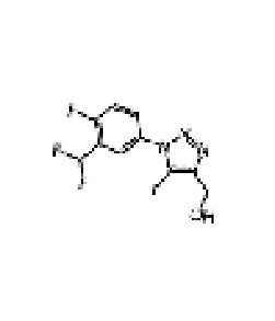 OCc1nnn(-c2ccc(F)c(C(F)F)c2)c1I